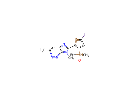 CC[SH](C)(=O)c1cc(I)sc1-c1nc2cc(C(F)(F)F)nnc2n1C